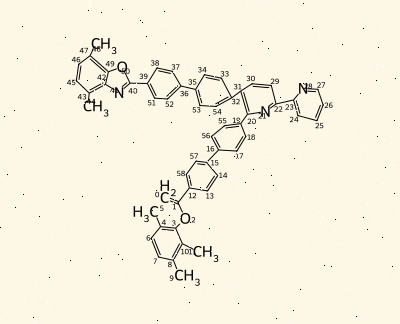 C=C(Oc1c(C)ccc(C)c1C)c1ccc(-c2ccc(-c3nc(-c4ccccn4)ccc3-c3ccc(-c4ccc(-c5nc6c(C)ccc(C)c6o5)cc4)cc3)cc2)cc1